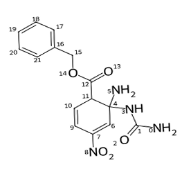 NC(=O)NC1(N)C=C([N+](=O)[O-])C=CC1C(=O)OCc1ccccc1